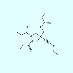 CCOC#CC(COC(=O)CC)(COC(=O)CC)COC(=O)CC